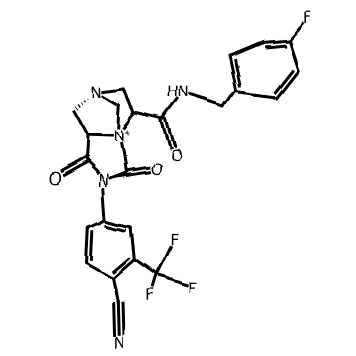 N#Cc1ccc(N2C(=O)C3C[N@]4CC(C(=O)NCc5ccc(F)cc5)[N+]3(C4)C2=O)cc1C(F)(F)F